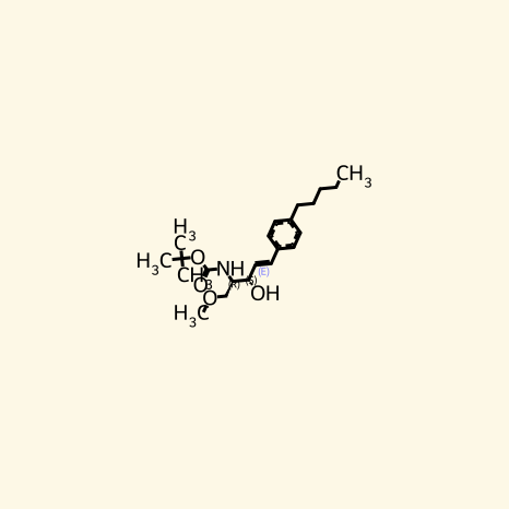 CCCCCc1ccc(/C=C/[C@H](O)[C@@H](COC)NC(=O)OC(C)(C)C)cc1